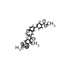 COC(=O)c1ccc(-c2ccc3c(c2)CN(C(=O)c2ccc(S(C)(=O)=O)c(F)c2C)CCO3)cc1